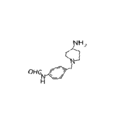 NC1CCN(Cc2ccc(NC=O)cc2)CC1